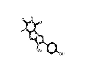 CCCCn1c(-c2ccc(O)cc2)cn2c3c(=O)[nH]c(=O)n(C)c3nc12